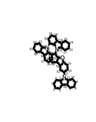 c1ccc2c(c1)c1ccccc1n2-c1ccc2oc3c(-n4c5ccccc5c5cccc(-n6c7ccccc7c7ccccc76)c54)nccc3c2c1